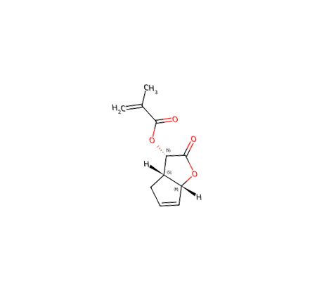 C=C(C)C(=O)O[C@@H]1C(=O)O[C@@H]2C=CC[C@H]12